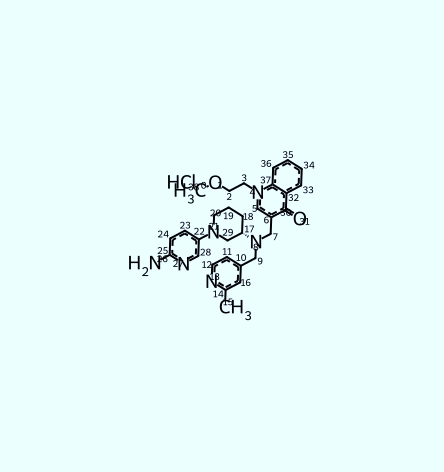 COCCn1cc(CN(Cc2ccnc(C)c2)[C@H]2CCCN(c3ccc(N)nc3)C2)c(=O)c2ccccc21.Cl